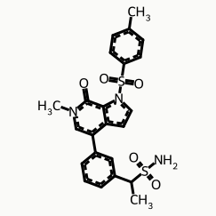 Cc1ccc(S(=O)(=O)n2ccc3c(-c4cccc(C(C)S(N)(=O)=O)c4)cn(C)c(=O)c32)cc1